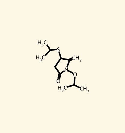 C=C1C(SC(C)C)CC(=O)N1OC(C)C